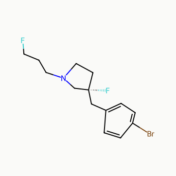 FCCCN1CC[C@@](F)(Cc2ccc(Br)cc2)C1